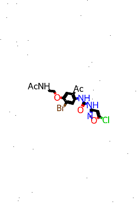 CC(=O)NCCOc1cc(C(C)=O)c(NC(=O)Nc2cc(Cl)on2)cc1Br